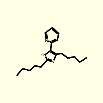 CCCCCc1nc(CCCCC)c(-c2ccccn2)[nH]1